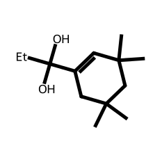 CCC(O)(O)C1=CC(C)(C)CC(C)(C)C1